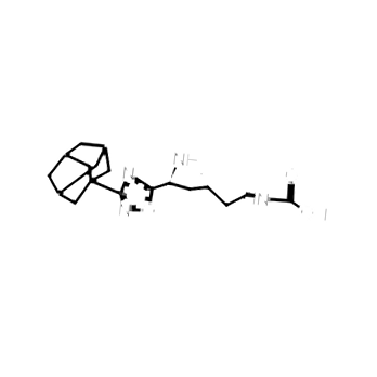 N[C@@H](CCCCNC(=O)O)c1nc(C23CC4CC(CC(C4)C2)C3)no1